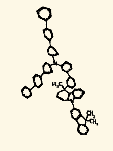 CC1(C)c2ccccc2-c2ccc(-n3c4c(c5ccccc53)C(C)(c3cccc(-c5cccc(N(c6ccc(-c7ccc(-c8ccccc8)cc7)cc6)c6ccc(-c7ccc(-c8ccccc8)cc7)cc6)c5)c3)CC=C4)cc21